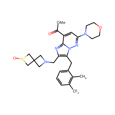 COC(=O)c1cc(N2CCOCC2)nn2c(Cc3cccc(C(F)(F)F)c3C)c(CN3CC4(C3)C[S+]([O-])C4)nc12